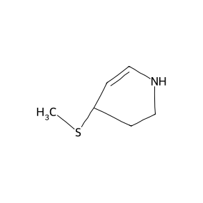 CSC1C=CNCC1